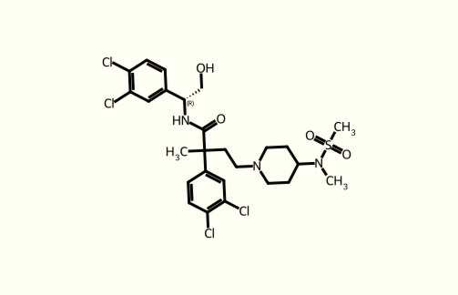 CN(C1CCN(CCC(C)(C(=O)N[C@@H](CO)c2ccc(Cl)c(Cl)c2)c2ccc(Cl)c(Cl)c2)CC1)S(C)(=O)=O